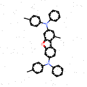 Cc1ccc(N(c2ccccc2)c2ccc3c(c2)oc2cc(N(c4ccccc4)c4ccc(C)cc4)cc(C)c23)cc1